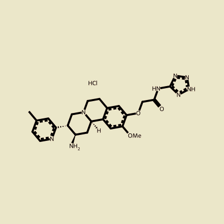 COc1cc2c(cc1OCC(=O)Nc1nn[nH]n1)CCN1C[C@@H](c3cc(C)ccn3)[C@H](N)C[C@H]21.Cl